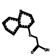 O=C(O)COc1ccnc2ccccc12